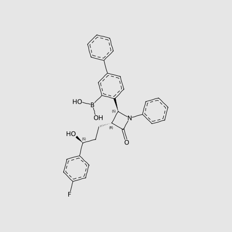 O=C1[C@H](CC[C@H](O)c2ccc(F)cc2)[C@@H](c2ccc(-c3ccccc3)cc2B(O)O)N1c1ccccc1